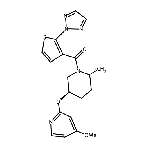 COc1ccnc(O[C@@H]2CC[C@@H](C)N(C(=O)c3ccsc3-n3nccn3)C2)c1